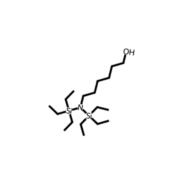 CC[Si](CC)(CC)N(CCCCCCO)[Si](CC)(CC)CC